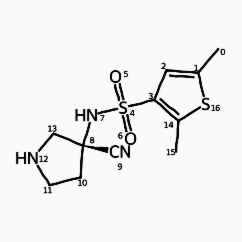 Cc1cc(S(=O)(=O)N[C@]2(C#N)CCNC2)c(C)s1